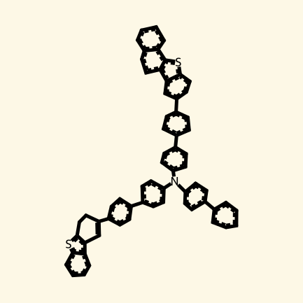 C1=C(c2ccc(-c3ccc(N(c4ccc(-c5ccccc5)cc4)c4ccc(-c5ccc(-c6ccc7sc8c9ccccc9ccc8c7c6)cc5)cc4)cc3)cc2)CCc2sc3ccccc3c21